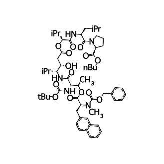 CCCCOC(=O)[C@@H]1CCCN1C(=O)[C@H](CC(C)C)NC(=O)[C@@H](OC(=O)C[C@H](O)[C@H](NC(=O)[C@@H](NC(=O)OC(C)(C)C)[C@@H](C)OC(=O)[C@H](Cc1ccc2ccccc2c1)N(C)C(=O)OCc1ccccc1)C(C)C)C(C)C